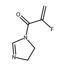 C=C(F)C(=O)N1C=NCC1